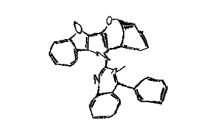 c1ccc(-c2nc(-n3c4c5ccccc5oc4c4oc5ccccc5c43)nc3ccccc23)cc1